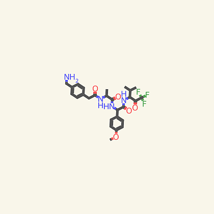 COc1ccc(C(NC(=O)C(C)NC(=O)Cc2ccc(CN)cc2)C(=O)NC(C(=O)C(F)(F)F)C(C)C)cc1